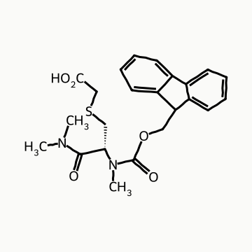 CN(C)C(=O)[C@H](CSCC(=O)O)N(C)C(=O)OCC1c2ccccc2-c2ccccc21